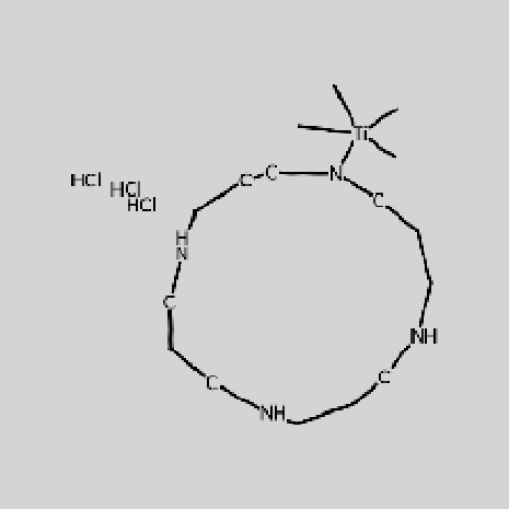 Cl.Cl.Cl.[CH3][Ti]([CH3])([CH3])([CH3])[N]1CCCNCCCNCCCNCCC1